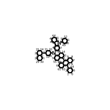 c1ccc(-c2c3ccccc3c(-c3cccc4c(N(c5ccc(-c6cccc7ccccc67)cc5)c5ccc6c(c5)c5ccccc5n6-c5ccccc5)cccc34)c3ccccc23)cc1